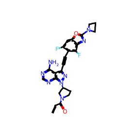 C=CC(=O)N1CC[C@H](n2nc(C#Cc3c(F)cc4oc(N5CCC5)nc4c3F)c3c(N)ncnc32)C1